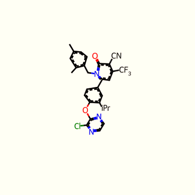 Cc1ccc(Cn2c(-c3ccc(Oc4nccnc4Cl)c(C(C)C)c3)cc(C(F)(F)F)c(C#N)c2=O)c(C)c1